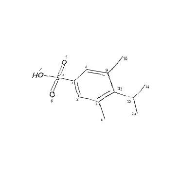 Cc1cc(S(=O)(=O)O)cc(C)c1C(C)C